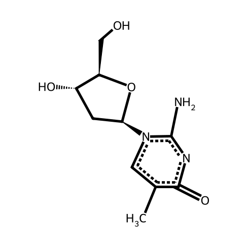 Cc1cn([C@H]2C[C@H](O)[C@@H](CO)O2)c(N)nc1=O